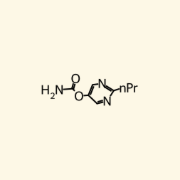 CCCc1ncc(OC(N)=O)cn1